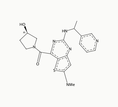 CNc1cc2nc(NC(C)c3cccnc3)nc(C(=O)N3CC[C@@H](O)C3)c2s1